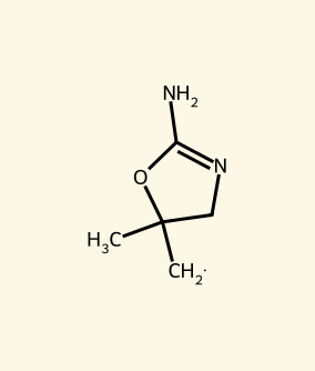 [CH2]C1(C)CN=C(N)O1